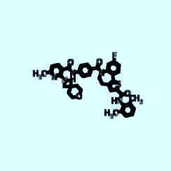 Cc1ccc(C(=O)Nc2ccc(C(=O)N3CCc4cc(C(=O)Nc5c(C)cccc5C)sc4-c4ccc(F)cc43)cc2)c(N2CC3(CCOCC3)C2)n1